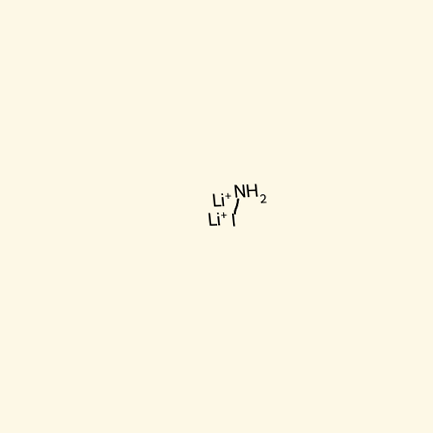 NI.[Li+].[Li+]